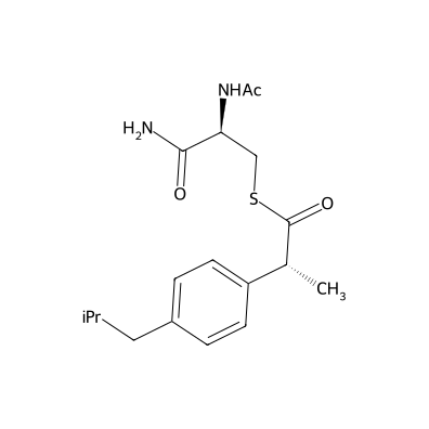 CC(=O)N[C@@H](CSC(=O)[C@H](C)c1ccc(CC(C)C)cc1)C(N)=O